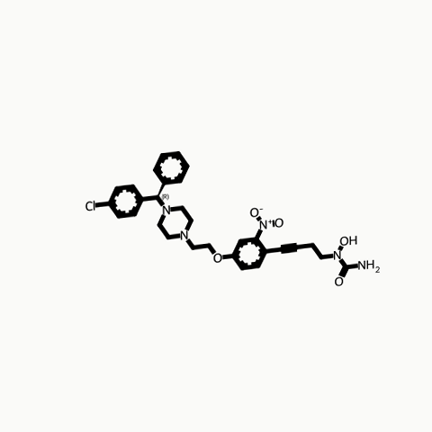 NC(=O)N(O)CCC#Cc1ccc(OCCN2CCN([C@H](c3ccccc3)c3ccc(Cl)cc3)CC2)cc1[N+](=O)[O-]